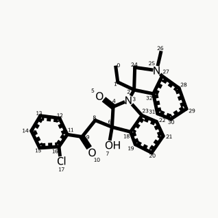 CCC1(N2C(=O)C(O)(CC(=O)c3ccccc3Cl)c3ccccc32)CN(C)c2ccccc21